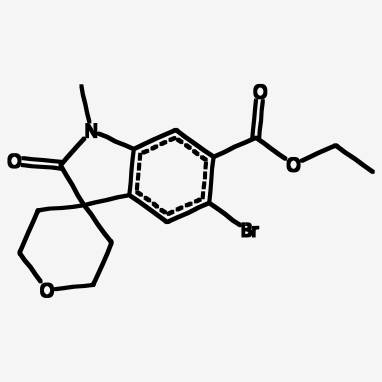 CCOC(=O)c1cc2c(cc1Br)C1(CCOCC1)C(=O)N2C